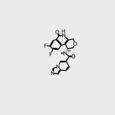 CN(C(=O)c1ccc2cncn2c1)[C@H]1COCc2[nH]c(=O)c3cc(F)c(F)cc3c21